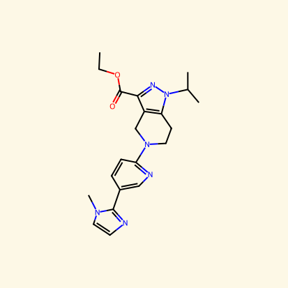 CCOC(=O)c1nn(C(C)C)c2c1CN(c1ccc(-c3nccn3C)cn1)CC2